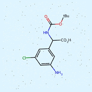 CC(C)(C)OC(=O)NC(C(=O)O)c1cc(N)cc(Cl)c1